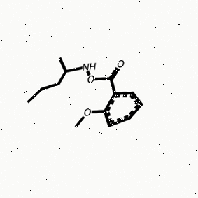 CCCC(C)NOC(=O)c1ccccc1OC